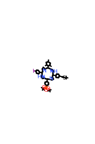 Cc1cc(C)c(-c2c3nc(c(-c4ccc(I)cc4)c4ccc([nH]4)c(-c4ccc(P(=O)(OC(C)(C)C)OC(C)(C)C)cc4)c4nc(c(-c5ccc(C#C[Si](C)(C)C)cc5)c5ccc2[nH]5)C=C4)C=C3)c(C)c1